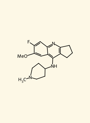 COc1cc2c(NC3CCN(C)CC3)c3c(nc2cc1F)CCC3